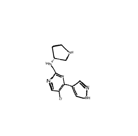 Clc1cnc(N[C@@H]2CCNC2)nc1-c1cn[nH]c1